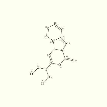 CCOC(OCC)C1=CC2C(N=C3C=CC=CN32)C(=O)O1